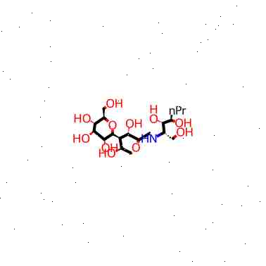 CCC[C@@H](O)[C@@H](O)[C@H](CO)NCC1OC[C@@H](O)[C@@H](C2O[C@H](CO)[C@@H](O)[C@H](O)[C@H]2O)[C@@H]1O